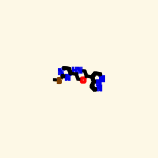 CSc1nccc(C2COC(c3ccnn4nccc34)CN2)n1